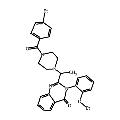 CCOc1ccccc1-n1c(C(C)N2CCN(C(=O)c3ccc(CC)cc3)CC2)nc2ccccc2c1=O